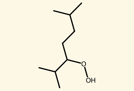 CC(C)CCC(OO)C(C)C